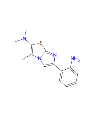 Cc1c(N(C)C)sc2nc(-c3ccccc3N)cn12